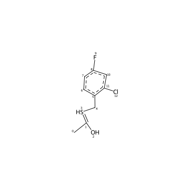 CC(O)=[SH]Cc1ccc(F)cc1Cl